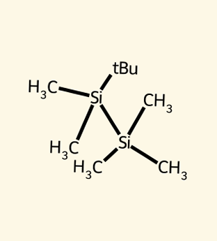 CC(C)(C)[Si](C)(C)[Si](C)(C)C